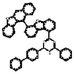 c1ccc(C2=NC(c3cccc4oc5c(-c6c7ccccc7cc7oc8ccccc8c67)cccc5c34)=NC(c3ccc(-c4ccccc4)cc3)N2)cc1